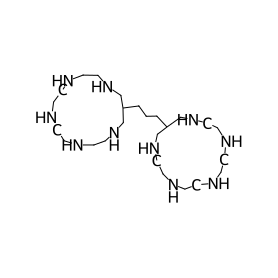 C(CC1CNCCNCCNCCNCCNC1)CC1CNCCNCCNCCNCCNC1